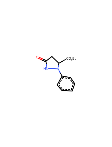 CCOC(=O)C1CC(=O)NN1c1ccccc1